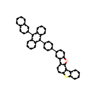 c1ccc2cc(-c3c4ccccc4c(-c4ccc(-c5ccc6oc7c(ccc8sc9ccccc9c87)c6c5)cc4)c4ccccc34)ccc2c1